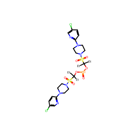 CCC(CC)(O[PH](=O)OC(CC)(CC)S(=O)(=O)N1CCN(c2ccc(Cl)cn2)CC1)S(=O)(=O)N1CCN(c2ccc(Cl)cn2)CC1